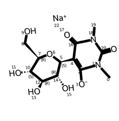 Cn1c([O-])c([C@@H]2O[C@H](CO)[C@@H](O)[C@H](O)[C@H]2O)c(=O)n(C)c1=O.[Na+]